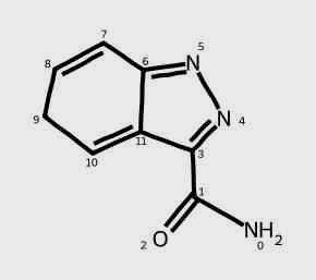 NC(=O)C1=NN=C2C=CCC=C21